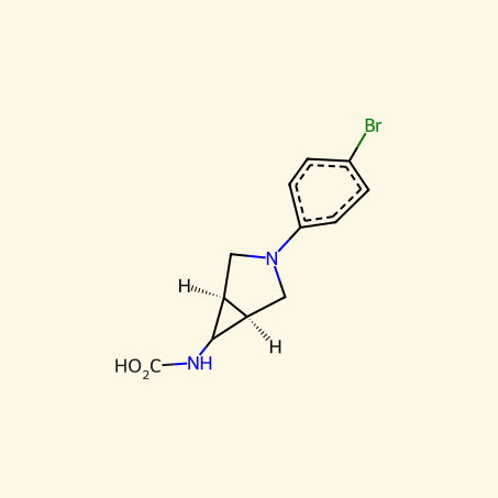 O=C(O)NC1[C@H]2CN(c3ccc(Br)cc3)C[C@@H]12